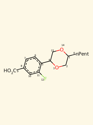 CCCCCC1COC(c2ccc(C(=O)O)cc2F)CO1